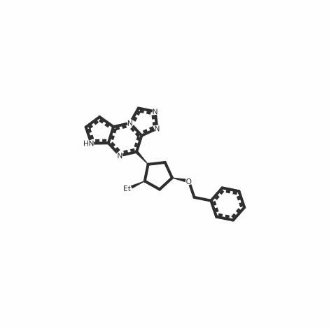 CC[C@@H]1C[C@H](OCc2ccccc2)C[C@@H]1c1nc2[nH]ccc2n2cnnc12